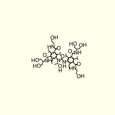 CC(O)N(C(=O)Nc1c(I)c(C(=O)NCCO)c(I)c(C(=O)NC(CO)CO)c1I)c1c(I)c(C(=O)NCCO)c(I)c(C(=O)NC(CO)CO)c1I